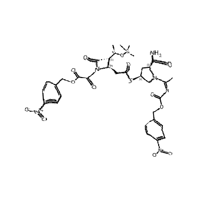 CC(=NC(=O)OCc1ccc([N+](=O)[O-])cc1)N1C[C@@H](SC(=O)C[C@@H]2[C@@H]([C@@H](C)O[Si](C)(C)C)C(=O)N2C(=O)C(=O)OCc2ccc([N+](=O)[O-])cc2)C[C@H]1C(N)=O